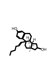 CCCCC=CC12CC[C@]3(C)CC(O)C[C@H]3[C@@H]1CCc1cc(O)ccc12